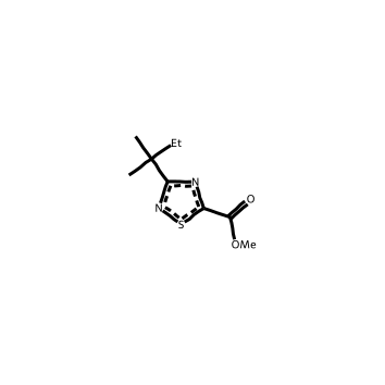 CCC(C)(C)c1nsc(C(=O)OC)n1